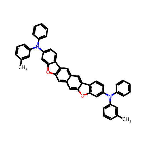 Cc1cccc(N(c2ccccc2)c2ccc3c(c2)oc2cc4cc5oc6cc(N(c7ccccc7)c7cccc(C)c7)ccc6c5cc4cc23)c1